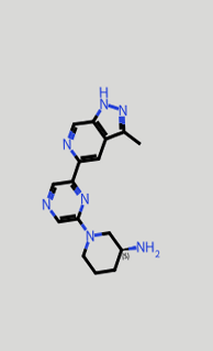 Cc1n[nH]c2cnc(-c3cncc(N4CCC[C@H](N)C4)n3)cc12